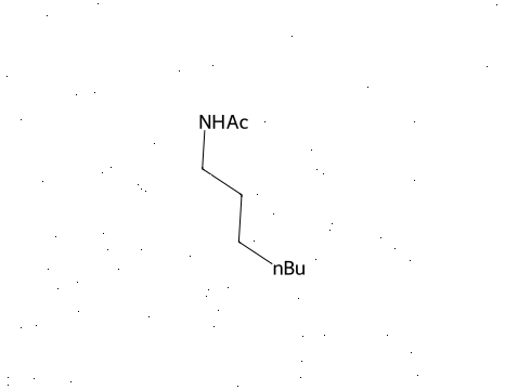 CCCCCCCNC(C)=O